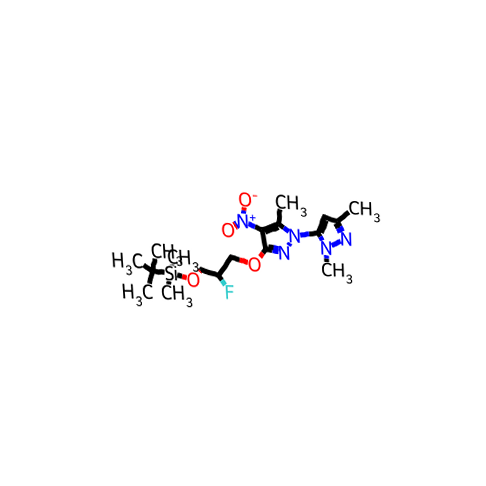 Cc1cc(-n2nc(OCC(F)CO[Si](C)(C)C(C)(C)C)c([N+](=O)[O-])c2C)n(C)n1